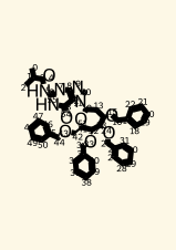 CC(C)C(=O)Nc1nc2ncn(C3C[C@H](OCc4ccccc4)[C@@H](OCc4ccccc4)[C@H](OCc4ccccc4)[C@@H](COCc4ccccc4)O3)c2c(=O)[nH]1